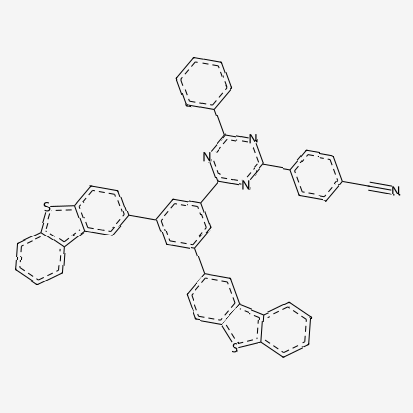 N#Cc1ccc(-c2nc(-c3ccccc3)nc(-c3cc(-c4ccc5sc6ccccc6c5c4)cc(-c4ccc5sc6ccccc6c5c4)c3)n2)cc1